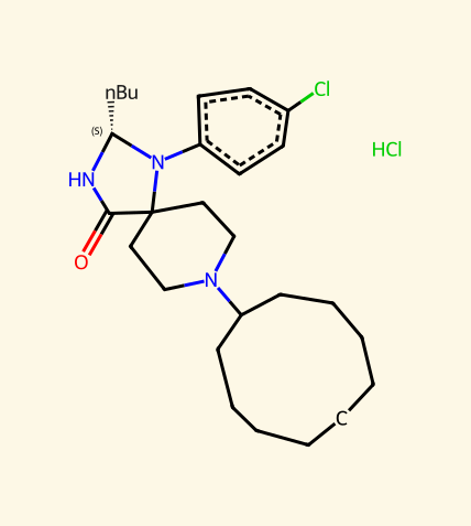 CCCC[C@H]1NC(=O)C2(CCN(C3CCCCCCCCC3)CC2)N1c1ccc(Cl)cc1.Cl